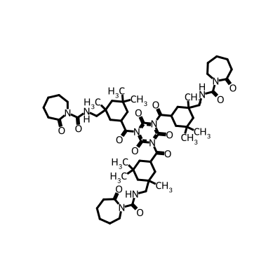 CC1(C)CC(C(=O)n2c(=O)n(C(=O)C3CC(C)(C)CC(C)(CNC(=O)N4CCCCCC4=O)C3)c(=O)n(C(=O)C3CC(C)(C)CC(C)(CNC(=O)N4CCCCCC4=O)C3)c2=O)CC(C)(CNC(=O)N2CCCCCC2=O)C1